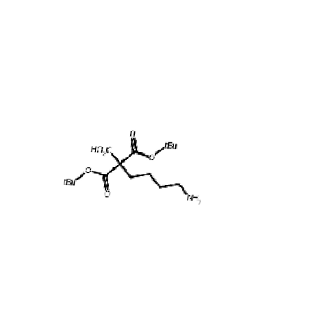 CC(C)(C)OC(=O)C(CCCCN)(C(=O)O)C(=O)OC(C)(C)C